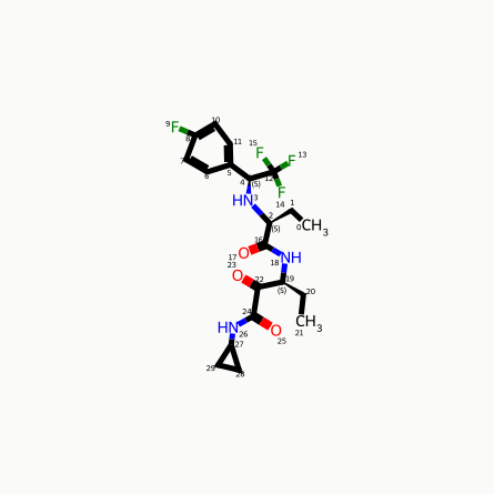 CC[C@H](N[C@@H](c1ccc(F)cc1)C(F)(F)F)C(=O)N[C@@H](CC)C(=O)C(=O)NC1CC1